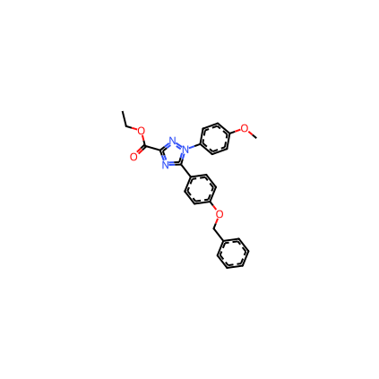 CCOC(=O)c1nc(-c2ccc(OCc3ccccc3)cc2)n(-c2ccc(OC)cc2)n1